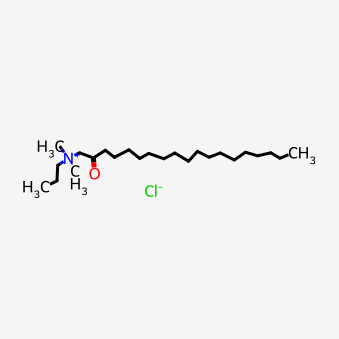 CCCCCCCCCCCCCCCCCC(=O)C[N+](C)(C)CCC.[Cl-]